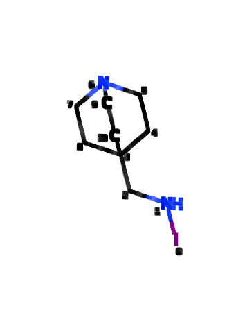 INCC12CCN(CC1)CC2